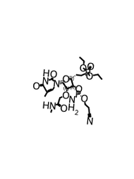 CCOP(=O)(CC[C@H]1O[C@@H](n2cc(C)c(=O)[nH]c2=O)[C@H](OCC(=O)NC)[C@@H]1OP(N)OCCC#N)OCC